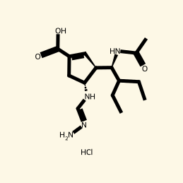 CCC(CC)[C@H](NC(C)=O)[C@@H]1C=C(C(=O)O)C[C@H]1NC=NN.Cl